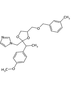 COc1ccc(C(C)C2(Cn3ccnc3)OCC(COCc3cccc(C)c3)O2)cc1